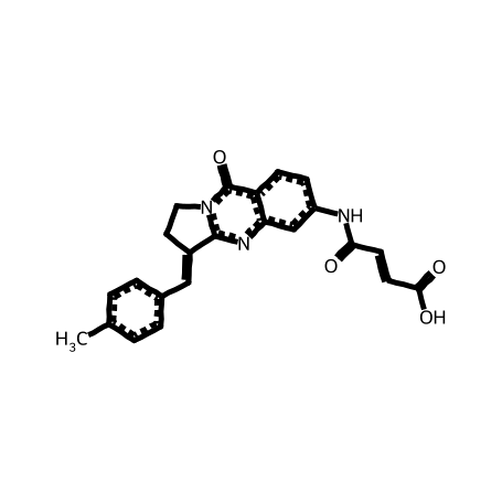 Cc1ccc(/C=C2\CCn3c2nc2cc(NC(=O)/C=C/C(=O)O)ccc2c3=O)cc1